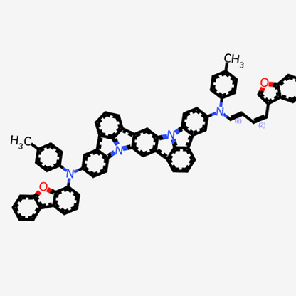 Cc1ccc(N(/C=C/C=C\c2coc3ccccc23)c2ccc3c(c2)c2cccc4c5cc6c(cc5n3c24)c2cccc3c4cc(N(c5ccc(C)cc5)c5cccc7c5oc5ccccc57)ccc4n6c32)cc1